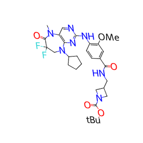 COc1cc(C(=O)NCC2CN(C(=O)OC(C)(C)C)C2)ccc1Nc1ncc2c(n1)N(C1CCCC1)CC(F)(F)C(=O)N2C